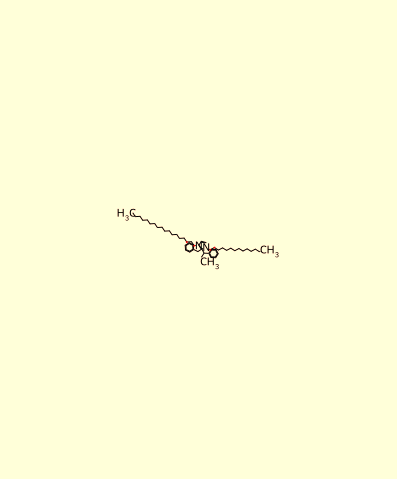 CCCCCCCCCCCCCCCCCCN1C=CN(CCCCCCCCCCCCCC)C1(Cc1ccccc1)C(CC)c1ccccc1